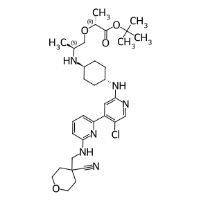 C[C@@H](CO[C@H](C)C(=O)OC(C)(C)C)N[C@H]1CC[C@H](Nc2cc(-c3cccc(NCC4(C#N)CCOCC4)n3)c(Cl)cn2)CC1